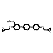 CCCCCc1cc(C2=CCC(c3ccc(OCC4CO4)cc3)CC2)ccc1OCC1CO1